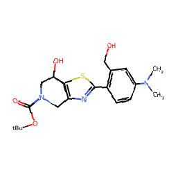 CN(C)c1ccc(-c2nc3c(s2)C(O)CN(C(=O)OC(C)(C)C)C3)c(CO)c1